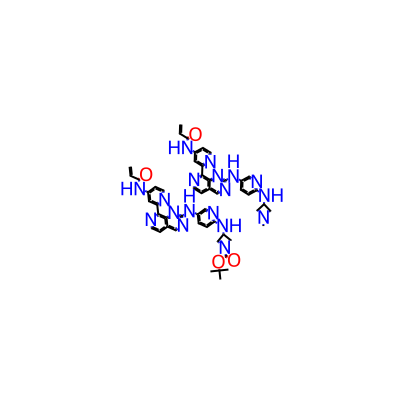 C=CC(=O)Nc1ccnc(-c2nccc3cnc(Nc4ccc(NC5CN(C(=O)OC(C)(C)C)C5)nc4)nc23)c1.C=CC(=O)Nc1ccnc(-c2nccc3cnc(Nc4ccc(NC5CN(C)C5)nc4)nc23)c1